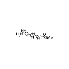 COC(=O)CCc1cn(-c2ncc(-c3ccc(C(=N)N)cc3)cn2)cn1